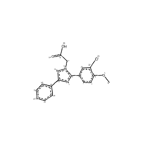 COc1ccc(-c2nc(-c3ccncc3)nn2CC(=O)O)cc1Cl